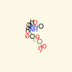 CCOC(=O)[C@H]1CC[C@@H](Oc2cc(C(=O)N[C@@H]3[C@H]4CC[C@H](C4)[C@@H]3C(=O)Nc3ccccc3)c(OC)cc2F)CC1